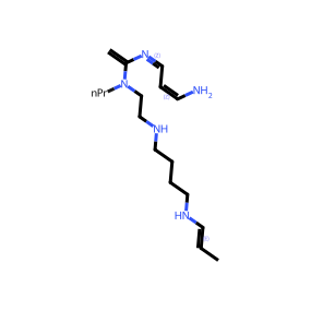 C=C(/N=C\C=C/N)N(CCC)CCNCCCCN/C=C/C